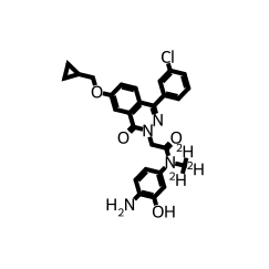 [2H]C([2H])([2H])N(C(=O)Cn1nc(-c2cccc(Cl)c2)c2ccc(OCC3CC3)cc2c1=O)c1ccc(N)c(O)c1